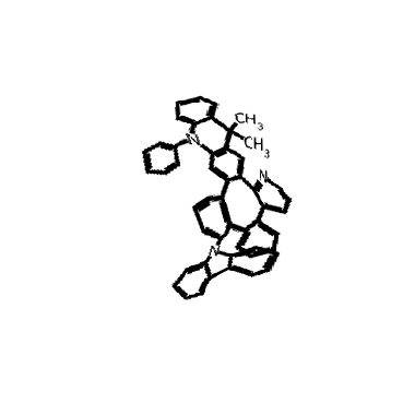 CC1(C)c2ccccc2N(c2ccccc2)c2cc3c(cc21)-c1ncccc1-c1ccccc1-c1c-3cccc1-n1c2ccccc2c2ccccc21